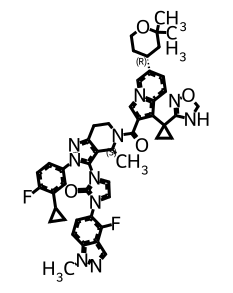 C[C@H]1c2c(nn(-c3ccc(F)c(C4CC4)c3)c2-n2ccn(-c3ccc4c(cnn4C)c3F)c2=O)CCN1C(=O)c1cn2cc([C@@H]3CCOC(C)(C)C3)ccc2c1C1(C2=NOCN2)CC1